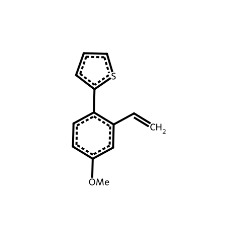 C=Cc1cc(OC)ccc1-c1cccs1